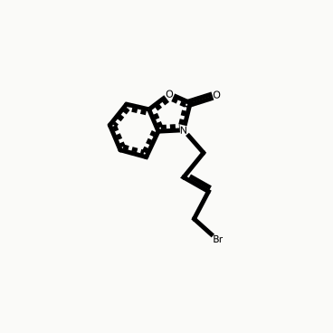 O=c1oc2ccccc2n1C/C=C/CBr